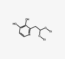 CCOC(Cc1nccc(O)c1O)OCC